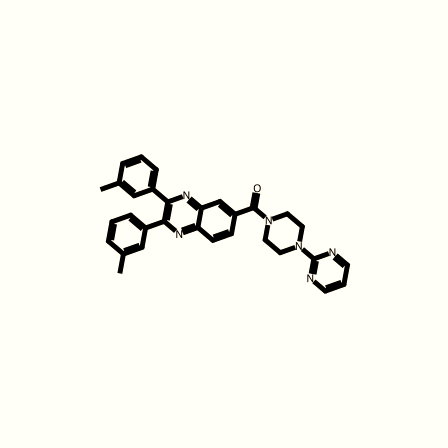 Cc1cccc(-c2nc3ccc(C(=O)N4CCN(c5ncccn5)CC4)cc3nc2-c2cccc(C)c2)c1